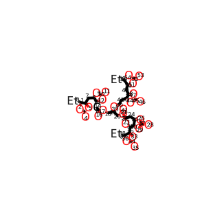 CCC1OC(=O)OC1CC1OC(=O)OC1CC(=O)OCC(COC(=O)CC1OC(=O)OC1CC1OC(=O)OC1CC)OC(=O)CC1OC(=O)OC1CC1OC(=O)OC1CC